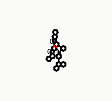 c1ccc(N(c2ccc(-c3cc4ccccc4c4ccccc34)cc2)c2cccc3oc4c5ccccc5ccc4c23)c(-c2ccc3oc4cc5ccccc5cc4c3c2)c1